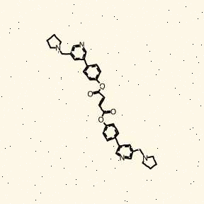 O=C(/C=C/C(=O)Oc1ccc(-c2cncc(CN3CCCC3)c2)cc1)Oc1ccc(-c2cncc(CN3CCCC3)c2)cc1